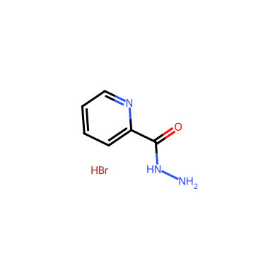 Br.NNC(=O)c1ccccn1